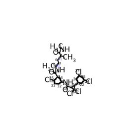 CNC(=O)/C(C)=C/C=C(\C)NC(=O)c1cc(NC(=O)C2C(c3cc(Cl)cc(Cl)c3)C2(Cl)Cl)ccc1Cl